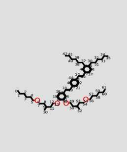 CCCCCCOCCC(C)CCOc1ccc(C=Cc2ccc(C=Cc3ccc(CCCCCC)c(CCCCCC)c3)cc2)cc1OCCC(C)CCOCCCCCC